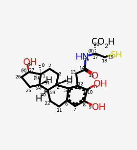 C[C@]12CC[C@@H]3c4c(cc(O)c(O)c4CC(=O)N[C@@H](CS)C(=O)O)CC[C@H]3[C@@H]1CC[C@H]2O